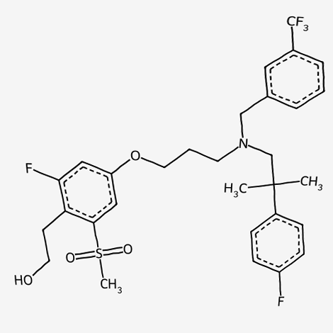 CC(C)(CN(CCCOc1cc(F)c(CCO)c(S(C)(=O)=O)c1)Cc1cccc(C(F)(F)F)c1)c1ccc(F)cc1